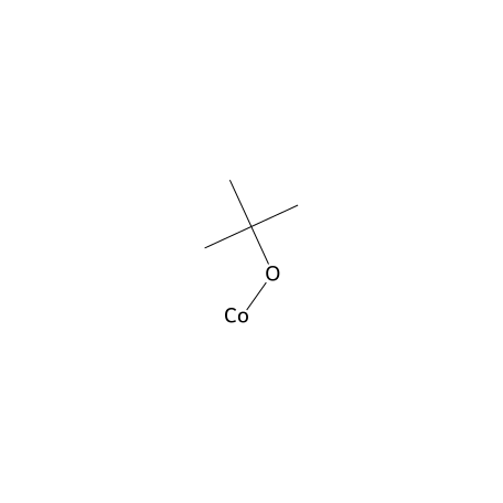 CC(C)(C)[O][Co]